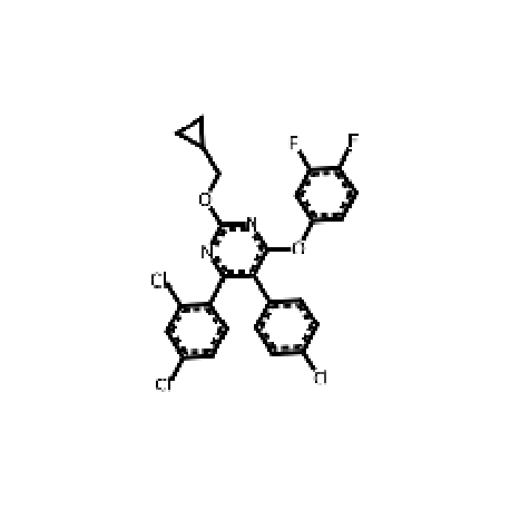 Fc1ccc(Oc2nc(OCC3CC3)nc(-c3ccc(Cl)cc3Cl)c2-c2ccc(Cl)cc2)cc1F